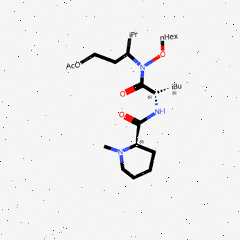 CCCCCCON(C(=O)[C@@H](NC(=O)[C@H]1CCCCN1C)[C@@H](C)CC)C(CCOC(C)=O)C(C)C